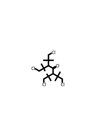 CC(C)(CCl)C(C(=O)C(C(C)(C)CCl)C(C)(C)CCl)C(C)(C)CCl